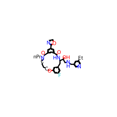 CCCN1CCCCOc2cc(F)cc(c2)CC(C(O)CNCc2cncc(CC)c2)NC(=O)c2cc(cc(-c3ncco3)c2)C1=O